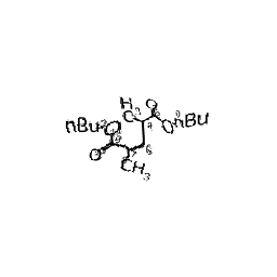 CCCCOC(=O)C(C)CC(C)C(=O)OCCCC